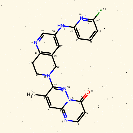 Cc1cc2nccc(=O)n2nc1N1CCc2ncc(Nc3cccc(F)n3)cc2C1